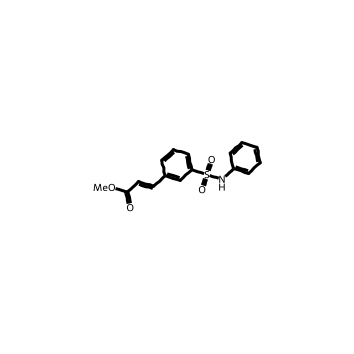 COC(=O)C=Cc1cccc(S(=O)(=O)Nc2ccccc2)c1